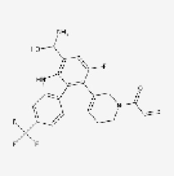 C=CC(=O)N1CCC=C(c2c(F)cc(C(N)O)c3[nH]c4cc(C(F)(F)F)ccc4c23)C1